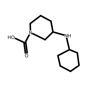 O=C(O)N1CCCC(NC2CCCCC2)C1